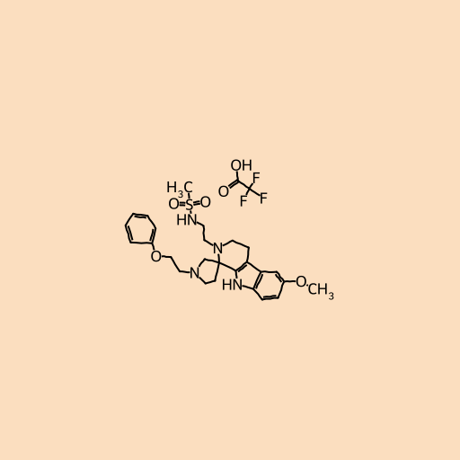 COc1ccc2[nH]c3c(c2c1)CCN(CCNS(C)(=O)=O)C31CCN(CCOc2ccccc2)C1.O=C(O)C(F)(F)F